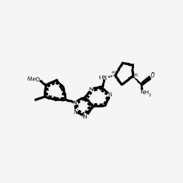 COc1ccc(-n2nnc3cnc(N[C@@H]4CC[C@@H](C(N)=O)C4)nc32)cc1C